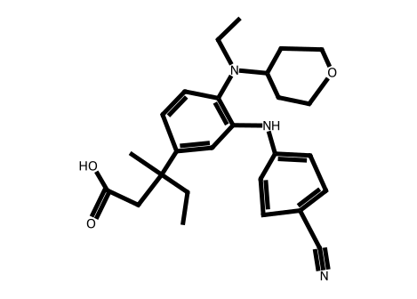 CCN(c1ccc(C(C)(CC)CC(=O)O)cc1Nc1ccc(C#N)cc1)C1CCOCC1